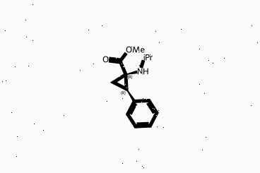 COC(=O)[C@@]1(NC(C)C)C[C@@H]1c1ccccc1